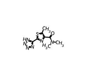 Cc1sc(-c2nnn[nH]2)nc1C(=O)N(C)C